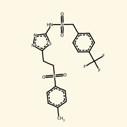 Cc1ccc(S(=O)(=O)CCc2nnc(NS(=O)(=O)Cc3ccc(C(F)(F)F)cc3)s2)cc1